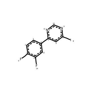 Fc1ccc(-c2cc(I)ncn2)cc1F